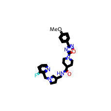 COc1ccc(-c2noc(N3CCC(C(=O)NCC4CCN(Cc5ncccc5F)C4)CC3)n2)cc1